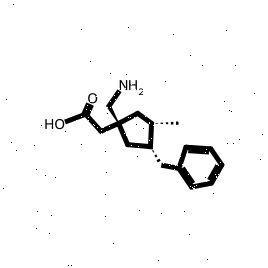 C[C@H]1C[C@@](CN)(CC(=O)O)C[C@H]1Cc1ccccc1